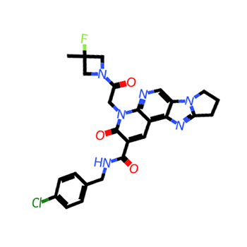 CC1(F)CN(C(=O)Cn2c(=O)c(C(=O)NCc3ccc(Cl)cc3)cc3c4nc5n(c4cnc32)CCC5)C1